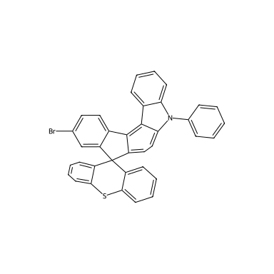 Brc1ccc2c(c1)C1(c3ccccc3Sc3ccccc31)c1ccc3c(c1-2)c1ccccc1n3-c1ccccc1